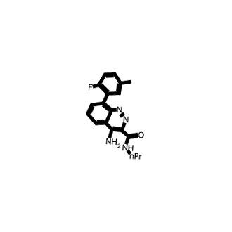 CCCNC(=O)c1nnc2c(-c3cc(C)ccc3F)cccc2c1N